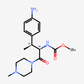 C[C@@H](c1ccc(N)cc1)[C@@H](NC(=O)OC(C)(C)C)C(=O)N1CCN(C)CC1